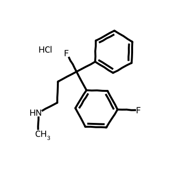 CNCCC(F)(c1ccccc1)c1cccc(F)c1.Cl